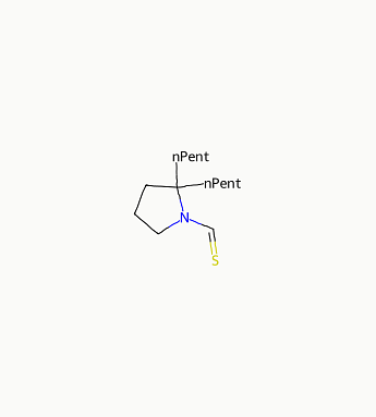 CCCCCC1(CCCCC)CCCN1C=S